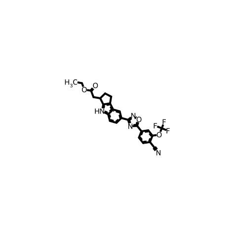 CCOC(=O)CC1CCc2c1[nH]c1ccc(-c3noc(-c4ccc(C#N)c(OC(F)(F)F)c4)n3)cc21